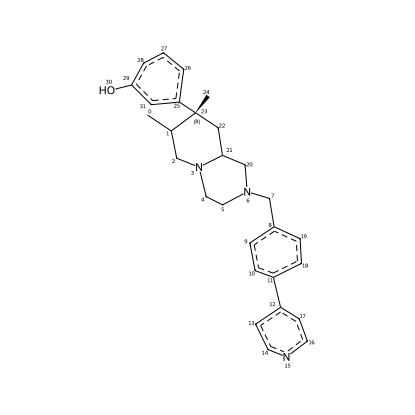 CC1CN2CCN(Cc3ccc(-c4ccncc4)cc3)CC2C[C@@]1(C)c1cccc(O)c1